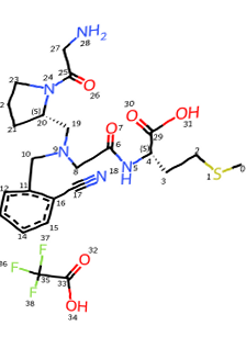 CSCC[C@H](NC(=O)CN(Cc1ccccc1C#N)C[C@@H]1CCCN1C(=O)CN)C(=O)O.O=C(O)C(F)(F)F